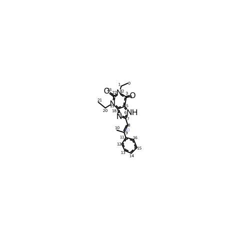 CCn1c(=O)c2[nH]c(/C=C(\C)c3ccccc3)nc2n(CC)c1=O